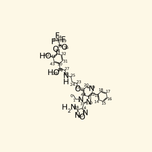 CCn1c(-c2nonc2N)nc2c(-c3ccccc3)ncc(OCCCNC[C@H](O)c3ccc(OC(=O)C(F)(F)F)c(O)c3)c21